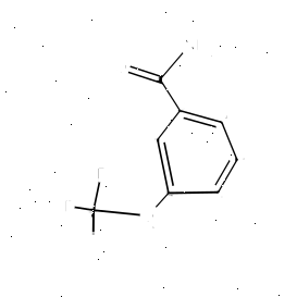 NC(=O)c1cccc(OC(F)(F)F)c1